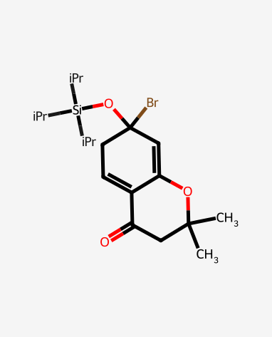 CC(C)[Si](OC1(Br)C=C2OC(C)(C)CC(=O)C2=CC1)(C(C)C)C(C)C